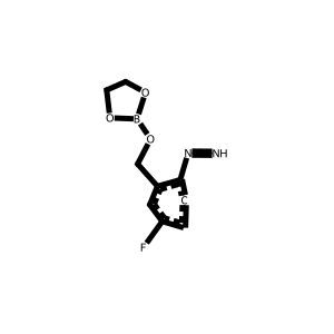 N=Nc1ccc(F)cc1COB1OCCO1